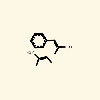 CC(=Cc1ccccc1)C(=O)O.CC=C(C)C(=O)O